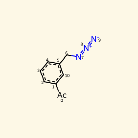 CC(=O)c1cccc(CN=[N+]=[N-])c1